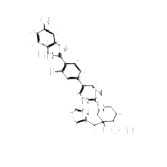 O=C(O)C1(Cc2cscn2)CCCN(c2ncc(-c3ccc(-c4nc5cc(C(F)(F)F)ccc5[nH]4)c(F)c3)cn2)C1